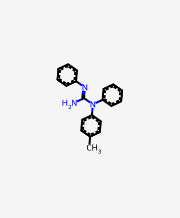 Cc1ccc(N(/C(N)=N/c2ccccc2)c2ccccc2)cc1